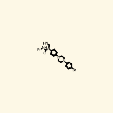 CC(C)NC(=O)N(C=N)c1ccc(N2CCN(c3ccc(Br)cc3)CC2)cc1